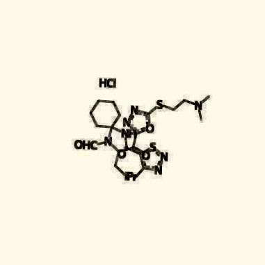 Cc1nnsc1C(=O)NC1(N(C=O)C(CC(C)C)C(=O)c2nnc(SCCN(C)C)o2)CCCCC1.Cl